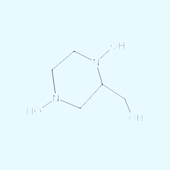 OCC1CN(O)CCN1O